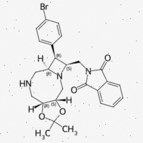 CC1(C)O[C@H]2CN3[C@H](CN4C(=O)c5ccccc5C4=O)[C@H](c4ccc(Br)cc4)[C@@H]3CNC[C@H]2O1